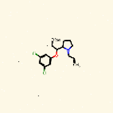 C=CCN1CCCC1C(COC)Oc1cc(Cl)cc(Cl)c1